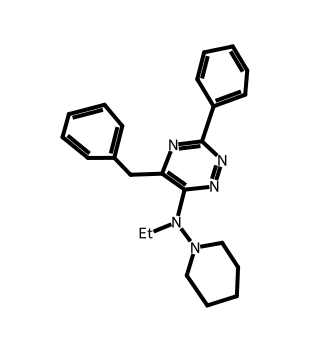 CCN(c1nnc(-c2ccccc2)nc1Cc1ccccc1)N1CCCCC1